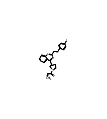 C=CC(=O)N1CCC(c2nc(CCc3ccc(F)cc3)nc3ccccc23)C1